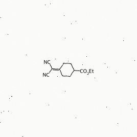 CCOC(=O)C1CCC(=C(C#N)C#N)CC1